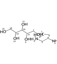 CC(=O)O.NCCN.OCC(O)C(O)C(O)CO